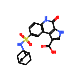 O=C(O)c1c[nH]c2c(=O)[nH]c3ccc(S(=O)(=O)NC4CC5CCC4CC5)cc3c12